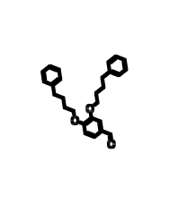 O=Cc1ccc(OCCCCc2ccccc2)c(OCCCCc2ccccc2)c1